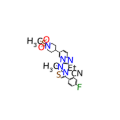 CCc1nc2ccc(C3CCN(S(C)(=O)=O)CC3)cn2c1N(C)c1nc(-c2ccc(F)cc2C#N)cs1